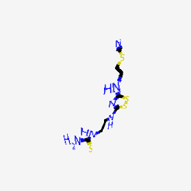 N#CSCCNC1N=C(NCCNC(N)=S)SS1